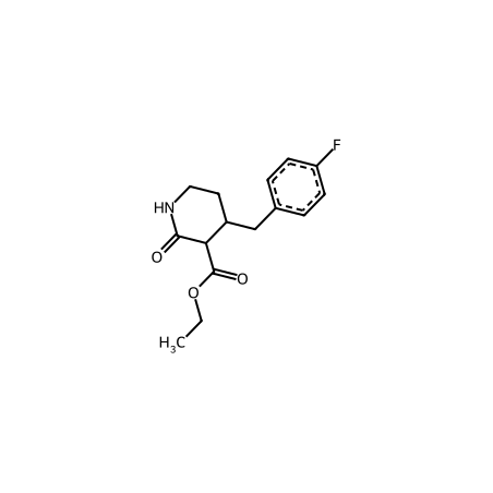 CCOC(=O)C1C(=O)NCCC1Cc1ccc(F)cc1